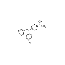 [CH2]C(O)N1CCN(C(Cc2ccccc2)c2ccc(Cl)cc2)CC1